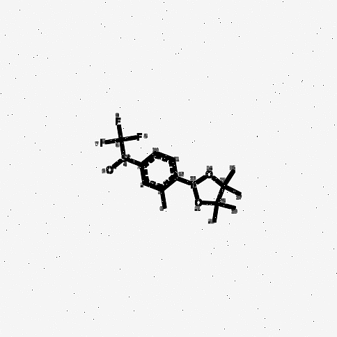 Cc1cc([S+]([O-])C(F)(F)F)ccc1B1OC(C)(C)C(C)(C)O1